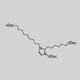 CCCCCCCCCCCCCCCCCCCN1C=CN(CCCCCCCCCC)C1CCCCCCCCCCCCCCCC